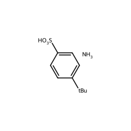 CC(C)(C)c1ccc(S(=O)(=O)O)cc1.N